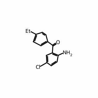 CCc1ccc(C(=O)c2cc(Cl)ccc2N)cc1